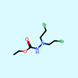 CCOC(=O)NN(CCBr)CCBr